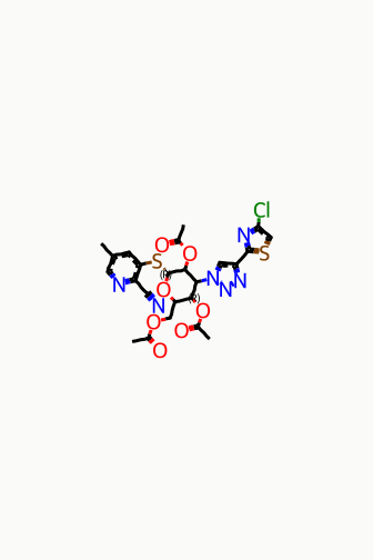 CC(=O)OCC1O[C@H](Sc2cc(C)cnc2C#N)C(OC(C)=O)C(n2cc(-c3nc(Cl)cs3)nn2)[C@H]1OC(C)=O